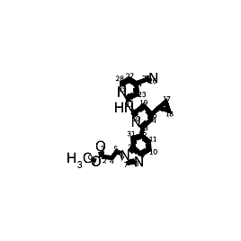 COC(=O)CCn1cnc2ccc(-c3cc(C4CC4)cc(Nc4cc(C#N)ccn4)n3)cc21